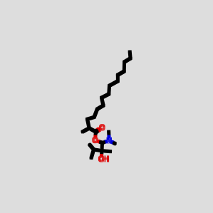 CCCCCCCCCCCCCC(C)C(=O)OC(N(C)C)C(C)(O)C(C)C